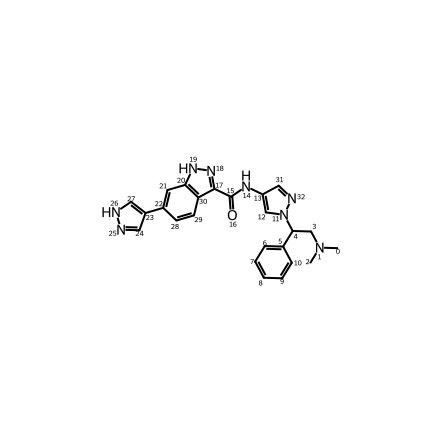 CN(C)CC(c1ccccc1)n1cc(NC(=O)c2n[nH]c3cc(-c4cn[nH]c4)ccc23)cn1